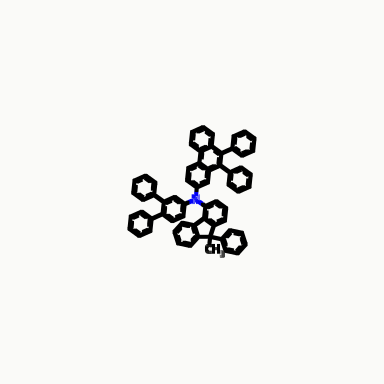 CC1(c2ccccc2)c2ccccc2-c2c(N(c3ccc(-c4ccccc4)c(-c4ccccc4)c3)c3ccc4c(c3)c(-c3ccccc3)c(-c3ccccc3)c3ccccc34)cccc21